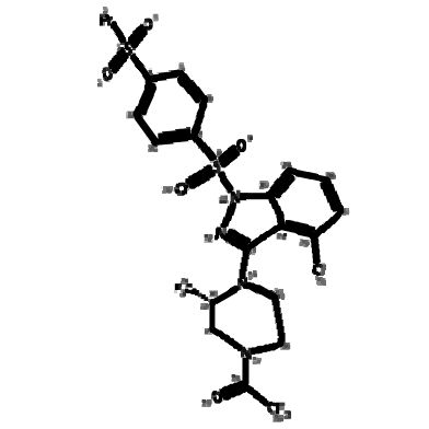 CC(C)S(=O)(=O)c1ccc(S(=O)(=O)n2nc(N3CCN(C(=O)C(F)(F)F)C[C@@H]3C(F)(F)F)c3c(Cl)cccc32)cc1